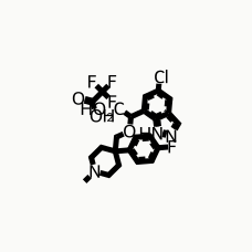 CN1CCC(COC(C(=O)O)c2cc(Cl)cc3cn[nH]c23)(c2ccc(F)cc2)CC1.O=C(O)C(F)(F)F